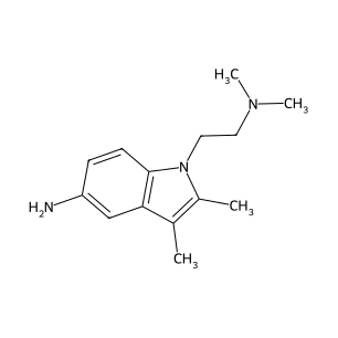 Cc1c(C)n(CCN(C)C)c2ccc(N)cc12